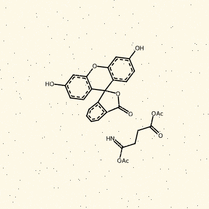 CC(=O)OC(=N)CCC(=O)OC(C)=O.O=C1OC2(c3ccc(O)cc3Oc3cc(O)ccc32)c2ccccc21